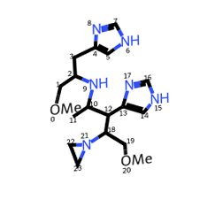 COCC(Cc1c[nH]cn1)NC(C)C(c1c[nH]cn1)C(COC)N1CC1